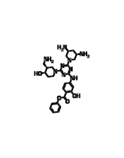 NC[C@H]1CN(c2nc(Nc3ccc(C(=O)Oc4ccccc4)c(O)c3)nc(N3C[C@H](N)C[C@H](N)C3)n2)CC[C@H]1O